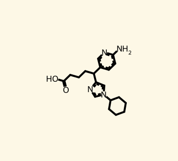 Nc1ccc(C(CCCC(=O)O)c2cn(C3CCCCC3)cn2)cn1